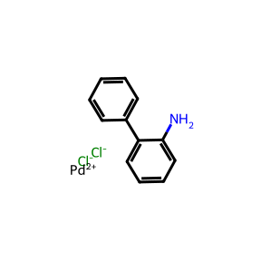 Nc1ccccc1-c1ccccc1.[Cl-].[Cl-].[Pd+2]